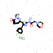 CC(C)n1nc(-c2sc(NC(=O)CN3CCOCC3)nc2-c2ccc(F)cc2)ccc1=O.Cl